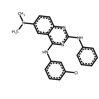 CN(C)c1ccc2nc(Nc3ccccc3)nc(Nc3cccc(Cl)c3)c2c1